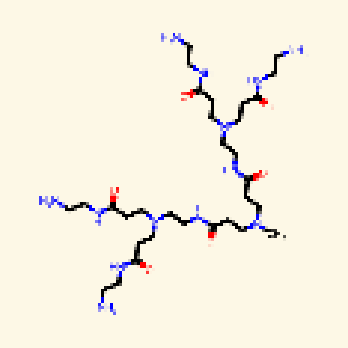 CN(CCC(=O)NCCN(CCC(=O)NCCN)CCC(=O)NCCN)CCC(=O)NCCN(CCC(=O)NCCN)CCC(=O)NCCN